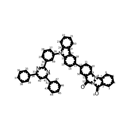 O=c1c2ccccc2n2c3ccc(-c4ccc5c(c4)c4ccccc4n5-c4cccc(-c5nc(-c6ccccc6)cc(-c6ccccc6)n5)c4)cc3c(=O)n12